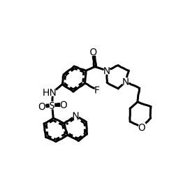 O=C(c1ccc(NS(=O)(=O)c2cccc3cccnc23)cc1F)N1CCN(CC2CCOCC2)CC1